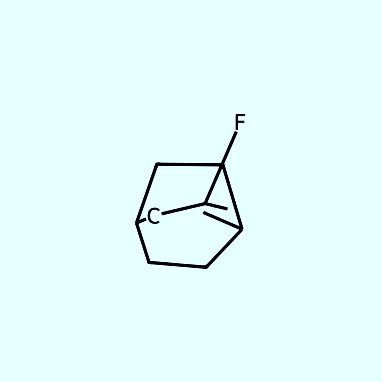 FC1=C2CCC(CC2)C1